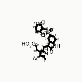 CC(=O)c1c(C)[nH]c(/C=C2\C(=O)Nc3ccc(S(=O)(=O)Cc4c(Cl)cccc4Cl)cc32)c1CCC(=O)O